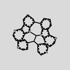 c1cc2c3c(c1)c1nccnc1n3C(C(c1ccncc1)c1ccncc1)n1c3nccnc3c3cccc-2c31